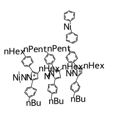 CCCCCCC1=C(c2ccc(CCCCC)cc2)[N+](=[N-])C(c2ccc(CCCC)cc2)=C1.CCCCCCC1=C(c2ccc(CCCCC)cc2)[N+](=[N-])C(c2ccc(CCCC)cc2)=C1.CCCCCCC1=C(c2ccc(CCCCCC)cc2)[N+](=[N-])C(c2ccc(CCCC)cc2)=C1.[CH3][Ni][CH3].c1cc[c]([Ni][c]2ccccc2)cc1